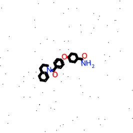 NC(=O)C1CCC(Oc2ccc(C(=O)N3CCCC4CCCC=C43)cc2)CC1